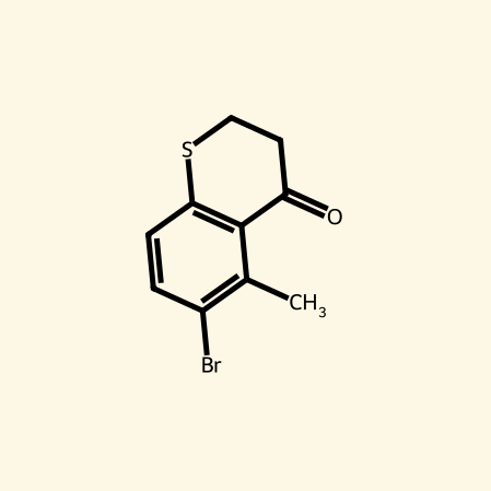 Cc1c(Br)ccc2c1C(=O)CCS2